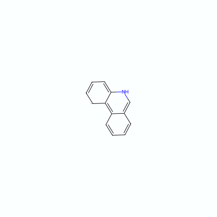 [CH]1C=CC=C2NC=c3ccccc3=C12